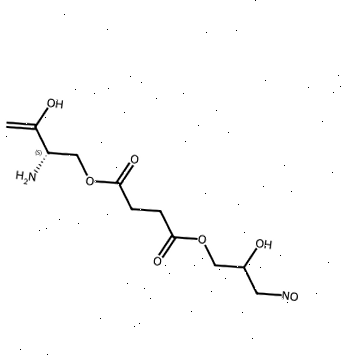 C=C(O)[C@@H](N)COC(=O)CCC(=O)OCC(O)CN=O